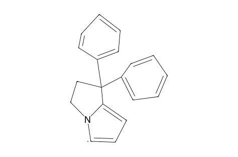 [c]1ccc2n1CCC2(c1ccccc1)c1ccccc1